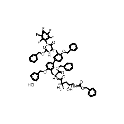 C[C@](N)(C[C@@H](O)CNC(=O)OCc1ccccc1)C(=O)N[C@@H](Cc1cc(-c2ccc(OCc3ccccc3)c(C[C@H](NC(=O)OCc3ccccc3)C(=O)Oc3c(F)c(F)c(F)c(F)c3F)c2)ccc1OCc1ccccc1)C(=O)OCc1ccccc1.Cl